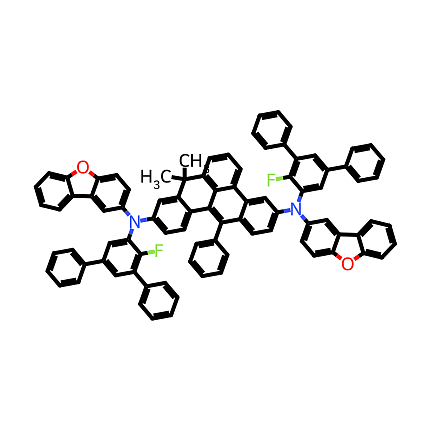 CC1(C)c2cc(N(c3ccc4oc5ccccc5c4c3)c3cc(-c4ccccc4)cc(-c4ccccc4)c3F)ccc2-c2c(-c3ccccc3)c3ccc(N(c4ccc5oc6ccccc6c5c4)c4cc(-c5ccccc5)cc(-c5ccccc5)c4F)cc3c3cccc1c23